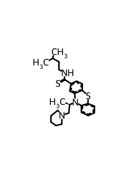 CC(C)CCNC(=S)c1ccc2c(c1)N([C@H](C)CN1CCCCC1)c1ccccc1S2